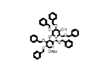 CO[C@H]1O[C@H](COCc2ccccc2)[C@@H](O[C@@H]2O[C@H](COCc3ccccc3)[C@H](O)[C@H](OCc3ccccc3)[C@H]2OCc2ccccc2)[C@H](OCc2ccccc2)[C@H]1OCc1ccccc1